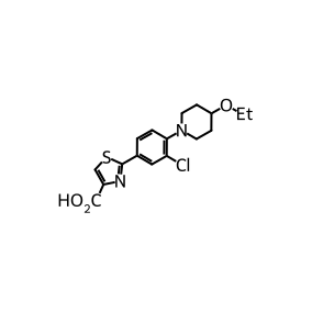 CCOC1CCN(c2ccc(-c3nc(C(=O)O)cs3)cc2Cl)CC1